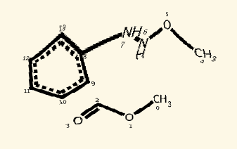 COC=O.CONNc1ccccc1